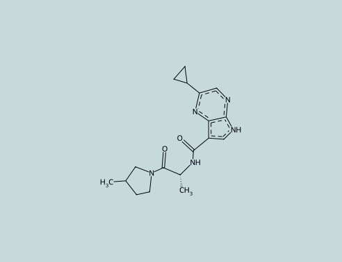 CC1CCN(C(=O)[C@@H](C)NC(=O)c2c[nH]c3ncc(C4CC4)nc23)C1